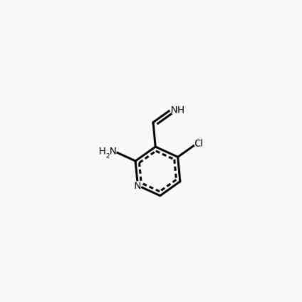 N=Cc1c(Cl)ccnc1N